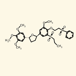 CCCS(=O)(=O)c1cc([C@H]2CC[C@H](c3cc(OC)c(OC)c(OC)c3)O2)cc(OC)c1OCCS(=O)(=O)c1ccccc1